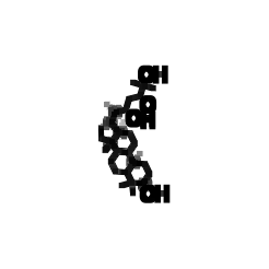 C[C@H](C(O)CC(O)C(C)(C)O)[C@H]1CC[C@@]2(C)C3=C(CC[C@]12C)[C@@]1(C)CC[C@H](O)C(C)(C)C1CC3